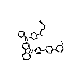 C#C/C=C\C=C(/C)C1CCC(N(c2ccccc2)c2ccc3c4ccccc4n(-c4ccc(C5=CC=C(C6=CC=CC(C)C6)CC5)cc4)c3c2)CC1